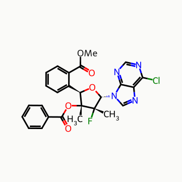 COC(=O)c1ccccc1[C@H]1O[C@H](n2cnc3c(Cl)ncnc32)[C@](C)(F)[C@]1(C)OC(=O)c1ccccc1